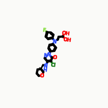 O=c1c(Cl)c(NC[C@@H]2CCCOC2)cnn1-c1ccc(N(CCC(O)O)c2ccc(F)cc2)cc1